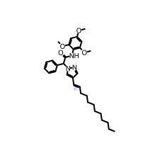 CCCCCCCCCC/C=C/c1cnn(C(C(=O)Nc2c(OC)cc(OC)cc2OC)c2ccccc2)c1